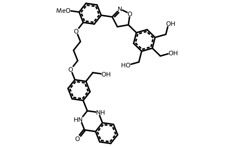 COc1ccc(C2=NOC(c3cc(CO)c(CO)c(CO)c3)C2)cc1OCCCOc1ccc(C2NC(=O)c3ccccc3N2)cc1CO